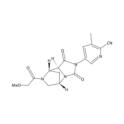 COCC(=O)N1C[C@@H]2C[C@H]1[C@H]1C(=O)N(c3cnc(C#N)c(C)c3)C(=O)N21